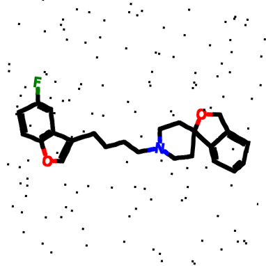 Fc1ccc2occ(CCCCN3CCC4(CC3)OCc3ccccc34)c2c1